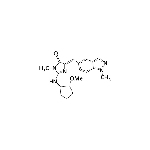 CO[C@@H]1CCC[C@H]1NC1=N/C(=C\c2ccc3c(cnn3C)c2)C(=O)N1C